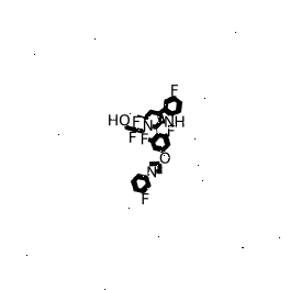 C[C@H]1Cc2c([nH]c3ccc(F)cc23)[C@H](c2c(F)cc(OC3CN(c4cccc(F)c4)C3)cc2F)N1CC(F)(F)CO